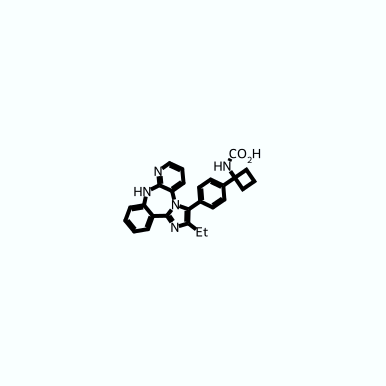 CCc1nc2n(c1-c1ccc(C3(NC(=O)O)CCC3)cc1)-c1cccnc1Nc1ccccc1-2